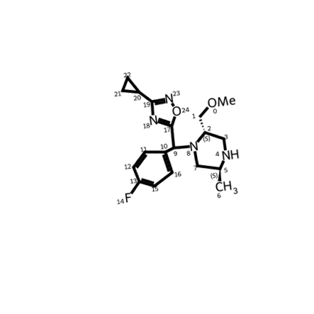 COC[C@@H]1CN[C@@H](C)CN1C(c1ccc(F)cc1)c1nc(C2CC2)no1